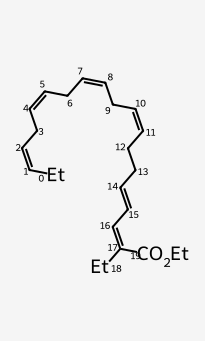 CC/C=C\C/C=C\C/C=C\C/C=C\CC/C=C/C=C(/CC)C(=O)OCC